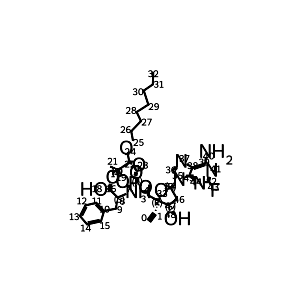 C#C[C@]1(CO[P@](=O)(N[C@@H](Cc2ccccc2)C(=O)O)O[C@@H](C)C(=O)OCCCCCCCC)O[C@@H](n2cnc3c(N)nc(F)nc32)C[C@@H]1O